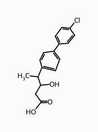 CC(c1ccc(-c2ccc(Cl)cc2)cc1)C(O)CC(=O)O